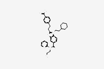 N=C(N)c1ccc(CCc2nc3cc(C(=O)N(CCN)c4ccccn4)ccc3n2CCC2CCCCC2)cc1